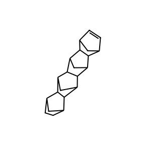 C1=CC2CC1C1C3CC(C21)C1C2CC(C4C5CCC(C5)C24)C31